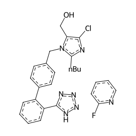 CCCCc1nc(Cl)c(CO)n1Cc1ccc(-c2ccccc2-c2nnn[nH]2)cc1.Fc1ccccn1